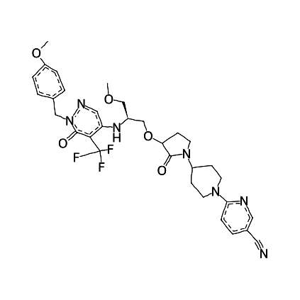 COC[C@@H](COC1CCN(C2CCN(c3ccc(C#N)cn3)CC2)C1=O)Nc1cnn(Cc2ccc(OC)cc2)c(=O)c1C(F)(F)F